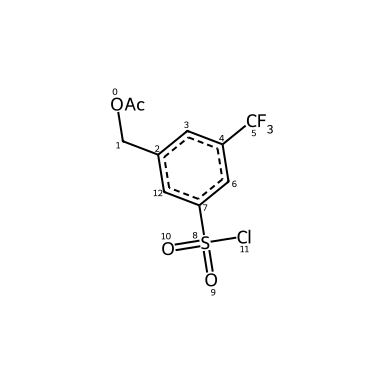 CC(=O)OCc1cc(C(F)(F)F)cc(S(=O)(=O)Cl)c1